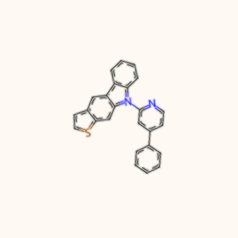 c1ccc(-c2ccnc(-n3c4ccccc4c4cc5ccsc5cc43)c2)cc1